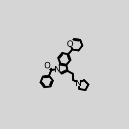 O=C(c1ccccc1)n1cc(CCN2CCCC2)c2cc(C3CCC=CO3)ccc21